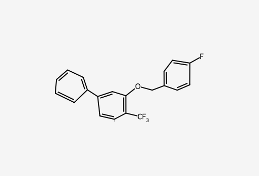 Fc1ccc(COc2cc(-c3ccccc3)c[c]c2C(F)(F)F)cc1